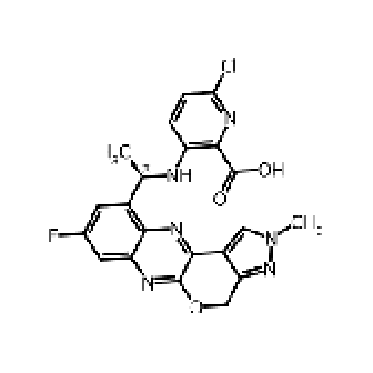 C[C@@H](Nc1ccc(Cl)nc1C(=O)O)c1cc(F)cc2nc3c(nc12)-c1cn(C)nc1CO3